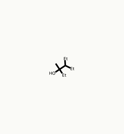 CCC(CC)C(C)(O)CC